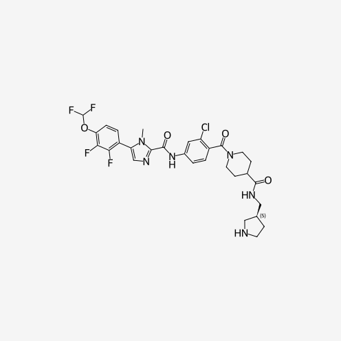 Cn1c(-c2ccc(OC(F)F)c(F)c2F)cnc1C(=O)Nc1ccc(C(=O)N2CCC(C(=O)NC[C@H]3CCNC3)CC2)c(Cl)c1